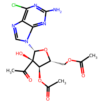 CC(=O)OC[C@H]1O[C@@H](n2cnc3c(Cl)nc(N)nc32)[C@@](O)(C(C)=O)[C@@H]1OC(C)=O